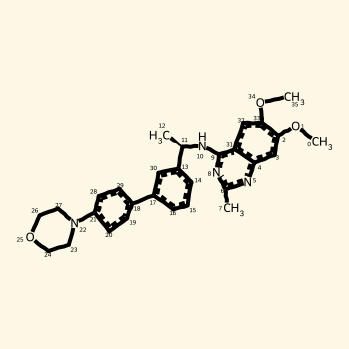 COc1cc2nc(C)nc(N[C@H](C)c3cccc(-c4ccc(N5CCOCC5)cc4)c3)c2cc1OC